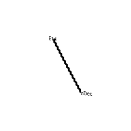 CCCCCCCCCCCCCCCCCCCCCCCCCCCCCCCCCCCCCCCC(I)CC